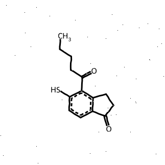 CCCCC(=O)c1c(S)ccc2c1CCC2=O